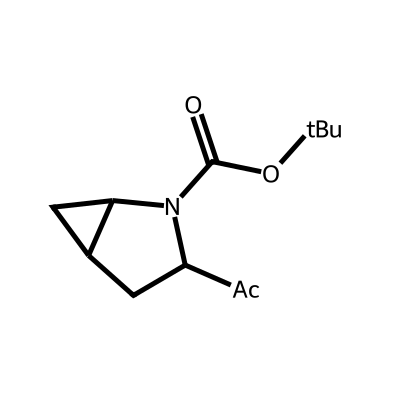 CC(=O)C1CC2CC2N1C(=O)OC(C)(C)C